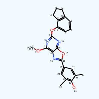 CCCOc1nc(Oc2cccc3c2CCC3)nc2oc(-c3cc(C)c([O])c(C)c3)nc12